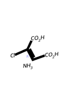 N.O=C(O)/C=C(/Cl)C(=O)O